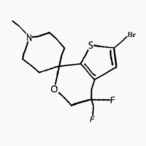 CN1CCC2(CC1)OCC(F)(F)c1cc(Br)sc12